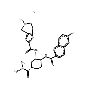 CN1CCc2nc(C(=O)N[C@H]3C[C@@H](C(=O)N(C)C)CC[C@@H]3NC(=O)c3ccc4cc(Cl)ccc4n3)sc2C1.Cl